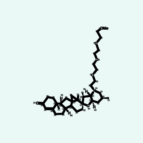 COCCOCCOCCOCCN1C[C@@H](C)C[C@H]2O[C@]3(CCC4[C@@H]5CCC6=CC(=O)CC[C@]6(C)[C@H]5CC45CC53C)[C@H](C)[C@@H]21